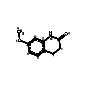 O=C1CCc2ccc(OC(F)(F)F)cc2N1